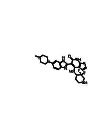 CN1CCN(c2ccc3nc(-c4c(NC5CCNCC5(F)F)c5ccsc5[nH]c4=O)[nH]c3c2)CC1